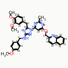 COc1ccc(CNc2nc(Cc3ccc(OC)c(OC)c3)n(-c3cc(OCc4ccc5ccccc5n4)nc(C)n3)n2)cc1